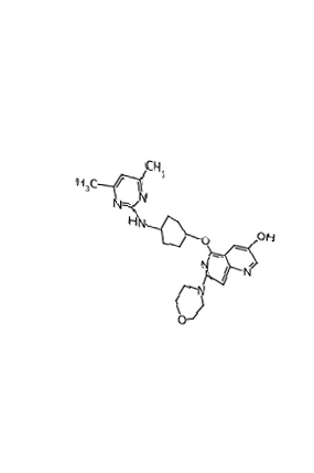 Cc1cc(C)nc(NC2CCC(Oc3nc(N4CCOCC4)cc4ncc(O)cc34)CC2)n1